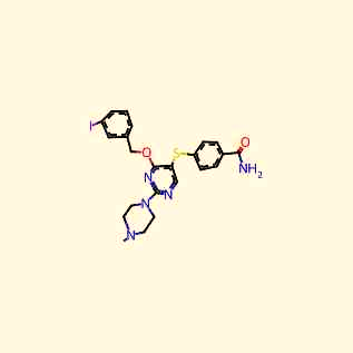 CN1CCN(c2ncc(Sc3ccc(C(N)=O)cc3)c(OCc3cccc(I)c3)n2)CC1